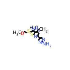 COCCSc1sc2nc(-c3cnc(N)nc3)cc(C(C)C)c2c1N